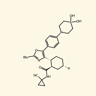 CC(C)(C)c1nc([C@@H]2CC[C@H](F)C[C@H]2C(=O)NC2(C#N)CC2)c(-c2ccc(N3CCS(O)(O)CC3)cc2)o1